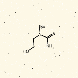 CC(C)(C)N(CCO)C(N)=S